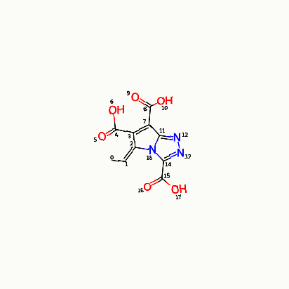 C/C=c1\c(C(=O)O)c(C(=O)O)c2nnc(C(=O)O)n12